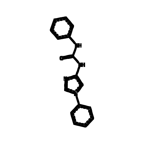 O=C(Nc1ccccc1)Nc1cn(-c2ccccc2)cn1